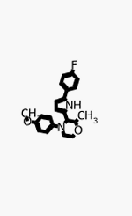 COc1ccc(N2CCOC(C)C2c2ccc(-c3ccc(F)cc3)[nH]2)cc1